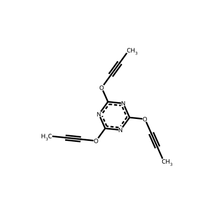 CC#COc1nc(OC#CC)nc(OC#CC)n1